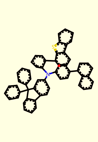 c1ccc(C2(c3ccccc3)c3ccccc3-c3ccc(N(c4ccc(-c5cccc6ccccc56)cc4)c4ccccc4-c4cccc5c4sc4ccccc45)cc32)cc1